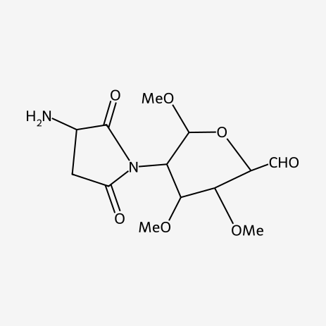 COC1OC(C=O)C(OC)C(OC)C1N1C(=O)CC(N)C1=O